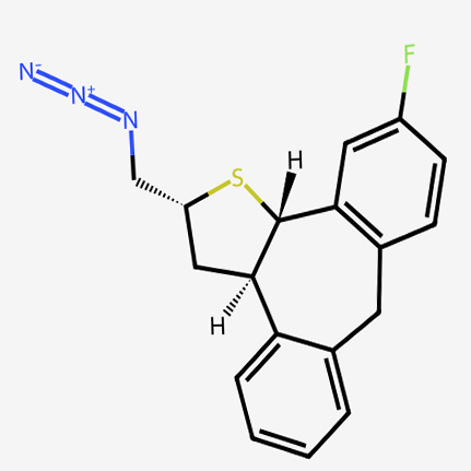 [N-]=[N+]=NC[C@H]1C[C@@H]2c3ccccc3Cc3ccc(F)cc3[C@H]2S1